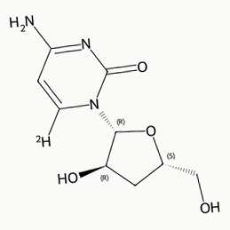 [2H]c1cc(N)nc(=O)n1[C@@H]1O[C@H](CO)C[C@H]1O